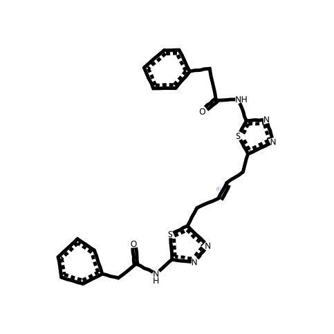 O=C(Cc1ccccc1)Nc1nnc(C/C=C/Cc2nnc(NC(=O)Cc3ccccc3)s2)s1